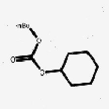 CCC[CH]OC(=O)OC1CCCCC1